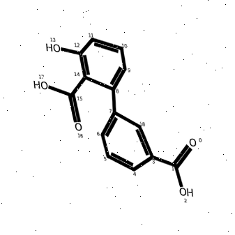 O=C(O)c1cccc(-c2cccc(O)c2C(=O)O)c1